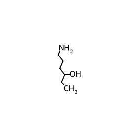 CCC(O)CCCN